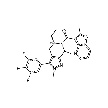 CC[C@@H]1Cc2c(nn(C)c2-c2cc(F)c(F)c(F)c2)C(C)N1C(=O)c1c(C)nn2cccnc12